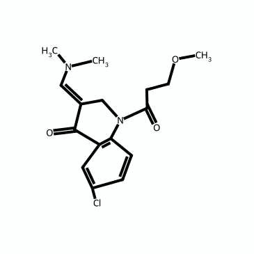 COCCC(=O)N1CC(=CN(C)C)C(=O)c2cc(Cl)ccc21